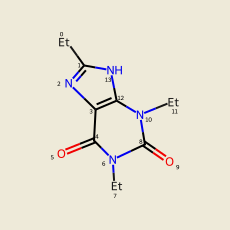 CCc1nc2c(=O)n(CC)c(=O)n(CC)c2[nH]1